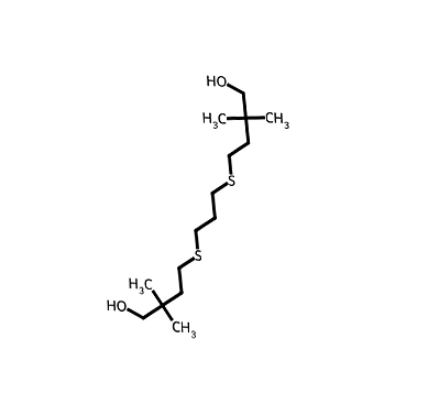 CC(C)(CO)CCSCCCSCCC(C)(C)CO